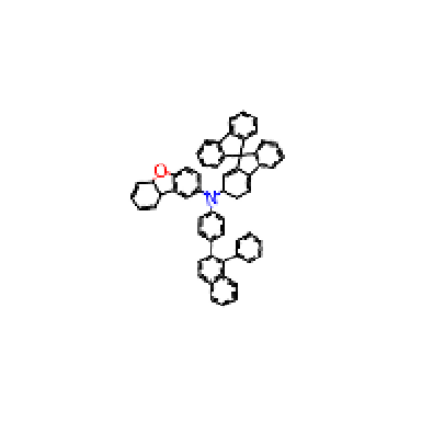 C1=CC2Oc3ccc(N(c4ccc(-c5ccc6ccccc6c5-c5ccccc5)cc4)C4C=C5C(=CC4)c4ccccc4C54c5ccccc5-c5ccccc54)cc3C2C=C1